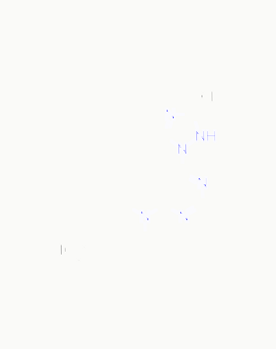 CC1N=CN(c2cc(N3CCC(C(=O)O)CC3)ncn2)N1